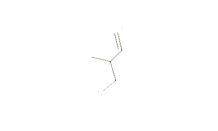 C=CC([O])CN